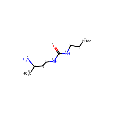 CC(=O)NCCNC(=O)NCCC(N)C(=O)O